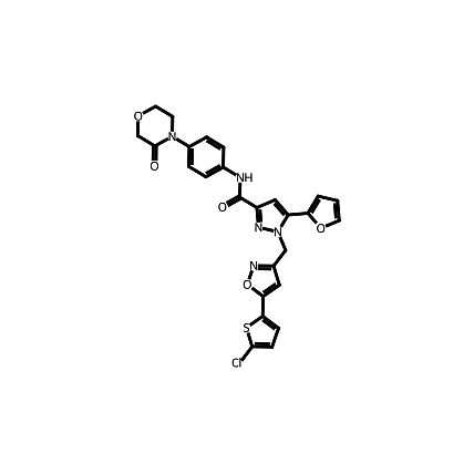 O=C(Nc1ccc(N2CCOCC2=O)cc1)c1cc(-c2ccco2)n(Cc2cc(-c3ccc(Cl)s3)on2)n1